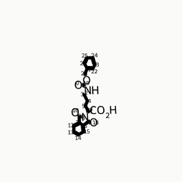 O=C(NCCC[C@@H](C(=O)O)N1C(=O)c2ccccc2C1=O)OCc1ccccc1